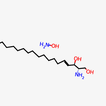 CCCCCCCCCCCCC/C=C/[C@@H](O)[C@@H](N)CO.NO